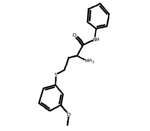 COc1cccc(SCCC(N)C(=O)Nc2ccccc2)c1